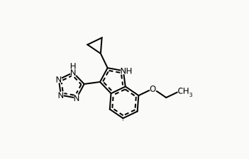 CCOc1c[c]cc2c(-c3nnn[nH]3)c(C3CC3)[nH]c12